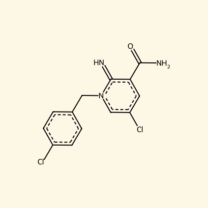 N=c1c(C(N)=O)cc(Cl)cn1Cc1ccc(Cl)cc1